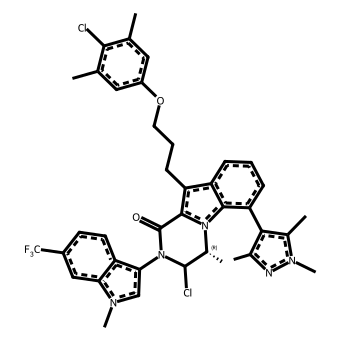 Cc1cc(OCCCc2c3n(c4c(-c5c(C)nn(C)c5C)cccc24)[C@H](C)C(Cl)N(c2cn(C)c4cc(C(F)(F)F)ccc24)C3=O)cc(C)c1Cl